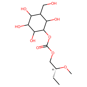 CC[C@H](COC(=O)OC1C(O)C(O)C(O)C(CO)C1O)OC